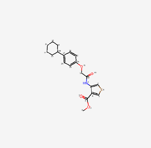 COC(=O)c1cscc1NC(=O)COc1ccc(C2CCCCC2)cc1